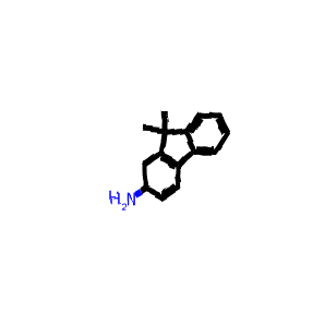 CC1(C)C2=C(C=CC(N)C2)c2ccccc21